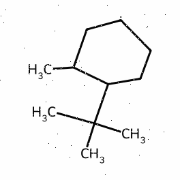 CC1C[CH]CCC1C(C)(C)C